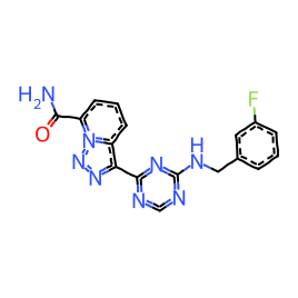 NC(=O)c1cccc2c(-c3ncnc(NCc4cccc(F)c4)n3)nnn12